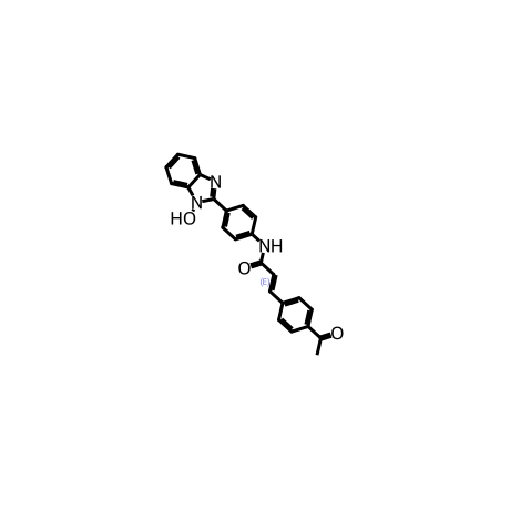 CC(=O)c1ccc(/C=C/C(=O)Nc2ccc(-c3nc4ccccc4n3O)cc2)cc1